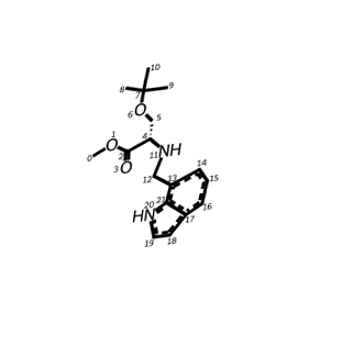 COC(=O)[C@H](COC(C)(C)C)NCc1cccc2cc[nH]c12